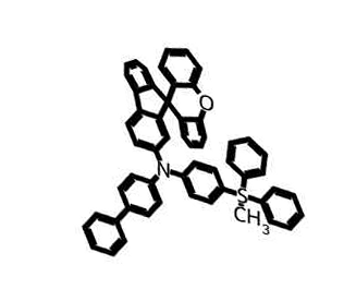 CS(c1ccccc1)(c1ccccc1)c1ccc(N(c2ccc(-c3ccccc3)cc2)c2ccc3c(c2)C2(c4ccccc4Oc4ccccc42)c2ccccc2-3)cc1